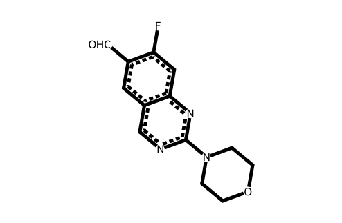 O=Cc1cc2cnc(N3CCOCC3)nc2cc1F